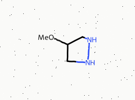 COC1[CH]NNC1